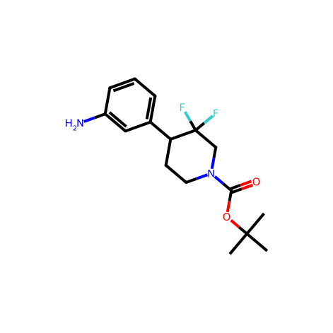 CC(C)(C)OC(=O)N1CCC(c2cccc(N)c2)C(F)(F)C1